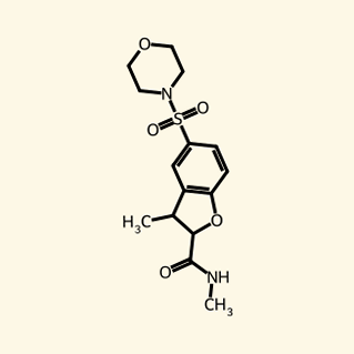 CNC(=O)C1Oc2ccc(S(=O)(=O)N3CCOCC3)cc2C1C